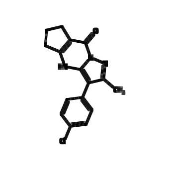 Cc1nn2c(=O)c3c([nH]c2c1-c1ccc(Cl)cc1)CCC3